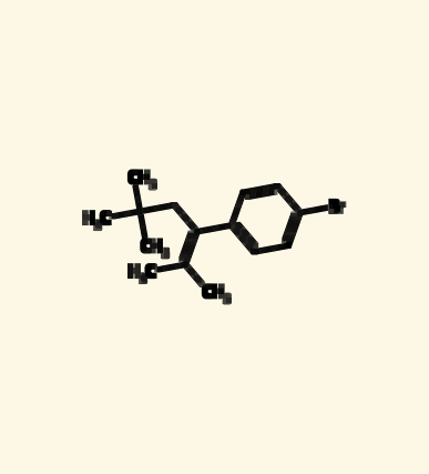 CC(C)=C(CC(C)(C)C)c1ccc(Br)cc1